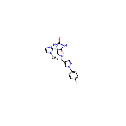 Cn1ccnc1C1(CNCc2cnn(-c3ccc(F)cc3)c2)NC(=O)NC1=O